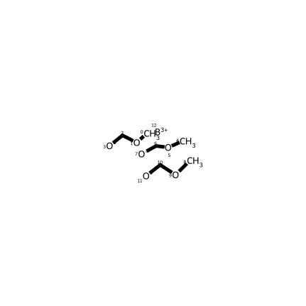 COC[O-].COC[O-].COC[O-].[B+3]